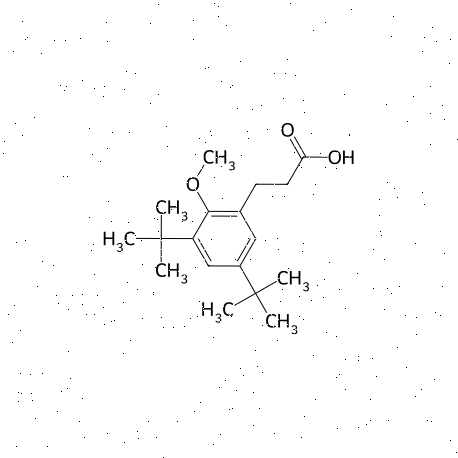 COc1c(CCC(=O)O)cc(C(C)(C)C)cc1C(C)(C)C